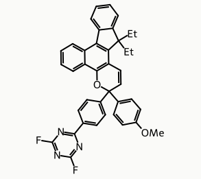 CCC1(CC)c2ccccc2-c2c1c1c(c3ccccc23)OC(c2ccc(OC)cc2)(c2ccc(-c3nc(F)nc(F)n3)cc2)C=C1